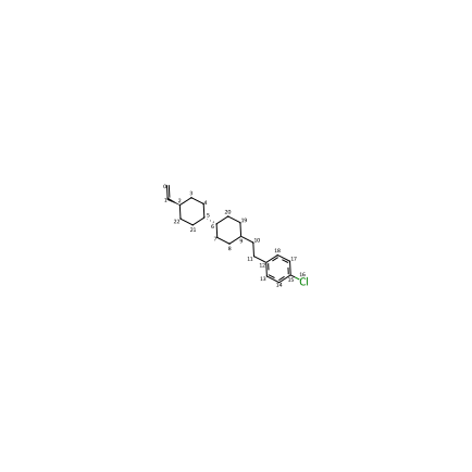 C=C[C@H]1CC[C@H](C2CCC(CCc3ccc(Cl)cc3)CC2)CC1